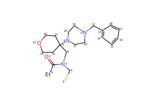 CCC(=O)N(CF)CC1(N2CCN(Cc3ccccc3)CC2)CCOCC1